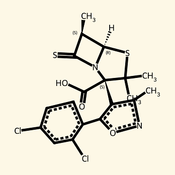 Cc1noc(-c2ccc(Cl)cc2Cl)c1[C@@]1(C(=O)O)N2C(=S)[C@@H](C)[C@H]2SC1(C)C